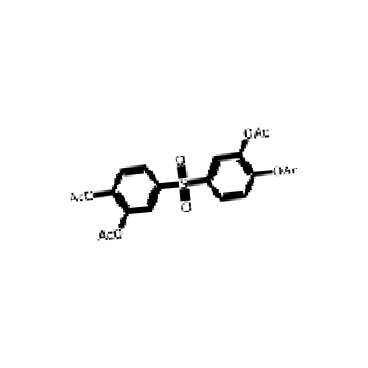 CC(=O)Oc1ccc(S(=O)(=O)c2ccc(OC(C)=O)c(OC(C)=O)c2)cc1OC(C)=O